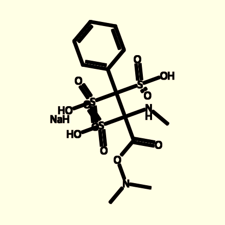 CNC(C(=O)ON(C)C)(C(c1ccccc1)(S(=O)(=O)O)S(=O)(=O)O)S(=O)(=O)O.[NaH]